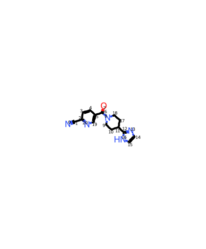 N#Cc1ccc(C(=O)N2CCC(c3ncc[nH]3)CC2)cn1